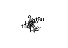 C=CCOc1cc(C[C@H](NC(=O)OC(C)(C)C)[C@H](O)CN(C(=O)OCc2ccccc2)C2(c3ccccc3C(C)(C)C)CC2)ccc1F